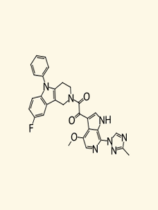 COc1cnc(-n2cnc(C)n2)c2[nH]cc(C(=O)C(=O)N3CCc4c(c5cc(F)ccc5n4-c4ccccc4)C3)c12